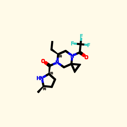 CC[C@H]1CN(C(=O)C(F)(F)F)C2(CC2)CN1C(=O)[C@H]1CC[C@@H](C)N1